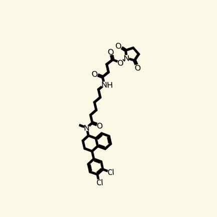 CN(C(=O)CCCCCNC(=O)CCC(=O)ON1C(=O)CCC1=O)C1CCC(c2ccc(Cl)c(Cl)c2)c2ccccc21